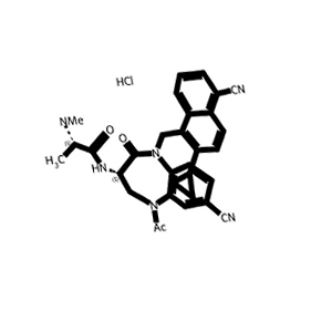 CN[C@@H](C)C(=O)N[C@H]1CN(C(C)=O)c2cc(C#N)ccc2N(Cc2c(C3CC3)ccc3c(C#N)cccc23)C1=O.Cl